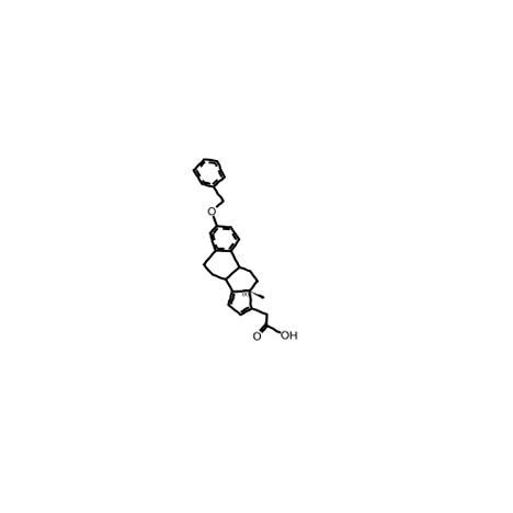 C[C@]12CCC3c4ccc(OCc5ccccc5)cc4CCC3C1=CC=C2CC(=O)O